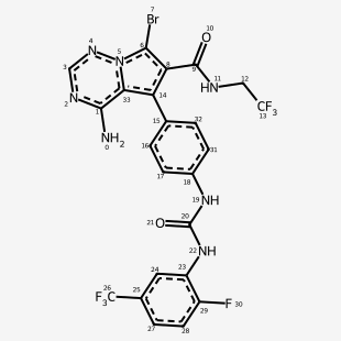 Nc1ncnn2c(Br)c(C(=O)NCC(F)(F)F)c(-c3ccc(NC(=O)Nc4cc(C(F)(F)F)ccc4F)cc3)c12